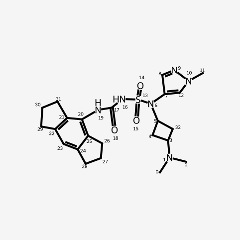 CN(C)C1CC(N(c2cnn(C)c2)S(=O)(=O)NC(=O)Nc2c3c(cc4c2CCC4)CCC3)C1